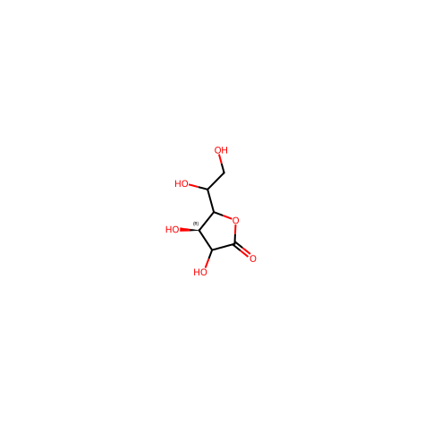 O=C1OC(C(O)CO)[C@H](O)C1O